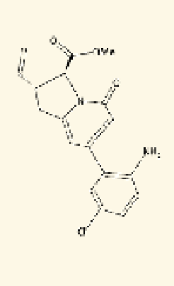 C=C[C@H]1Cc2cc(-c3cc(Cl)ccc3N)cc(=O)n2[C@@H]1C(=O)OC